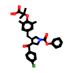 Cc1cc(C[C@H]2CN(C(=O)Oc3ccccc3)CC2C(=O)c2ccc(Cl)cc2)cc(C)c1OC(C)(C)C(=O)O